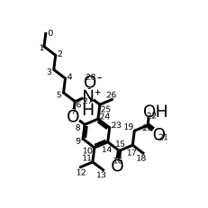 CCCCCCC1Oc2cc(C(C)C)c(C(=O)C(C)CC(=O)O)cc2C(C)[NH+]1[O-]